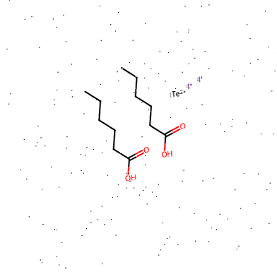 CCCCCC(=O)O.CCCCCC(=O)O.[I+].[I+].[Te+2]